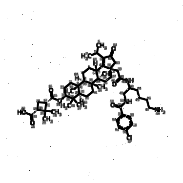 CC(C)C1=C2[C@H]3CC[C@@H]4[C@@]5(C)CC[C@H](OC(=O)[C@H]6C[C@@H](C(=O)O)C6(C)C)C(C)(C)[C@@H]5CC[C@@]4(C)[C@]3(C)CC[C@@]2(CC(=O)NC(CCCCN)CNC(=O)c2ccc(Cl)cc2)CC1=O